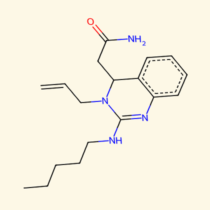 C=CCN1C(NCCCCC)=Nc2ccccc2C1CC(N)=O